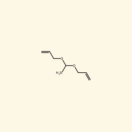 C=CCOC([SiH3])OCC=C